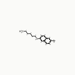 CCCCCCOc1ccc2cc(Br)ccc2c1